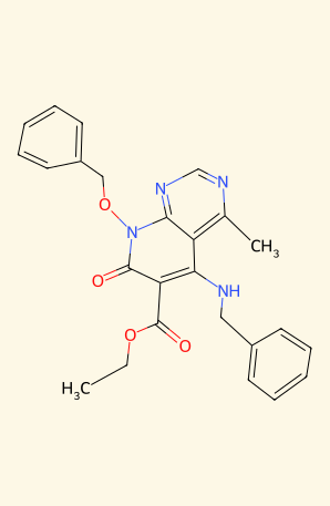 CCOC(=O)c1c(NCc2ccccc2)c2c(C)ncnc2n(OCc2ccccc2)c1=O